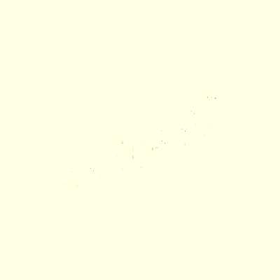 COc1cccc(N2CCN(c3ccc4c(c3)CCC3(CCN(C5CCC5)CC3)O4)CC2)n1